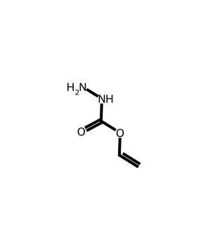 C=COC(=O)NN